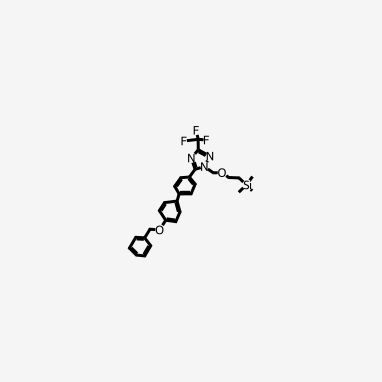 C[Si](C)(C)CCOCn1nc(C(F)(F)F)nc1-c1ccc(-c2ccc(OCc3ccccc3)cc2)cc1